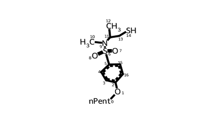 CCCCCOc1ccc(S(=O)(=O)N(C)C(C)CS)cc1